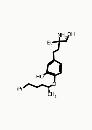 CCC(N)(CO)CCc1ccc(O[C@@H](C)CCCC(C)C)c(O)c1